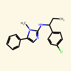 CCC(Nc1ncc(-c2ccccc2)n1C)c1ccc(Cl)cc1